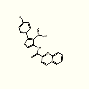 O=C(Nc1csc(-c2ccc(Br)cc2)c1C(=O)O)c1cnc2ccccc2n1